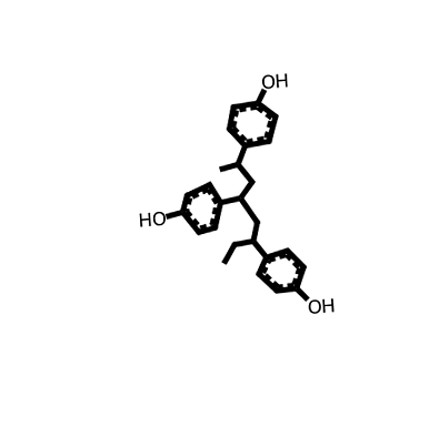 CCC(CC(CC(C)c1ccc(O)cc1)c1ccc(O)cc1)c1ccc(O)cc1